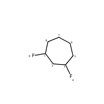 FC1[CH]C(F)CCCC1